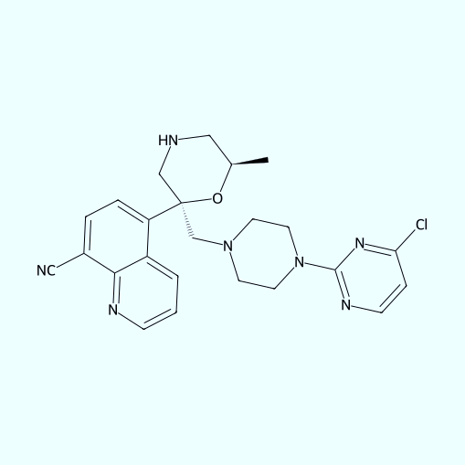 C[C@@H]1CNC[C@](CN2CCN(c3nccc(Cl)n3)CC2)(c2ccc(C#N)c3ncccc23)O1